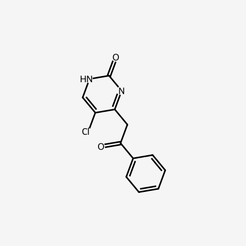 O=C(Cc1nc(=O)[nH]cc1Cl)c1ccccc1